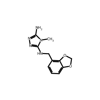 Cn1c(N)nnc1NCc1cccc2c1OCO2